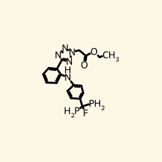 CCOC(=O)Cn1nnc(-c2ccccc2Nc2ccc(C(F)(P)P)cc2)n1